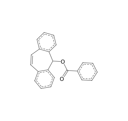 O=C(OC1c2ccccc2C=Cc2ccccc21)c1ccccc1